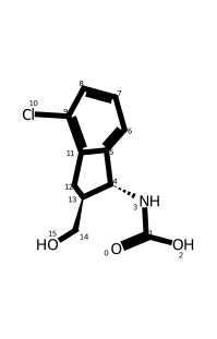 O=C(O)N[C@H]1c2cccc(Cl)c2C[C@@H]1CO